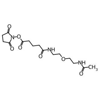 CC(=O)NCCOCCNC(=O)CCCC(=O)ON1C(=O)CCC1=O